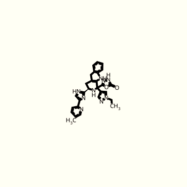 CCn1cc(C2(c3n[nH]c(=O)o3)N[C@@H](c3nc(-c4ccc(C)cn4)c[nH]3)CC3=C2Nc2ccccc2C3)cn1